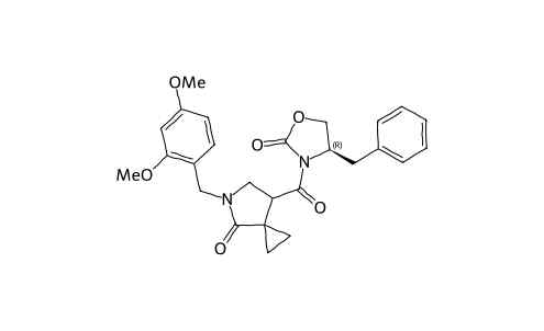 COc1ccc(CN2CC(C(=O)N3C(=O)OC[C@H]3Cc3ccccc3)C3(CC3)C2=O)c(OC)c1